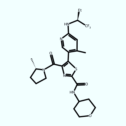 CC[C@H](Nc1cc(C)c(-c2sc(C(=O)NC3CCOCC3)nc2C(=O)N2CCC[C@@H]2C)cn1)C(F)(F)F